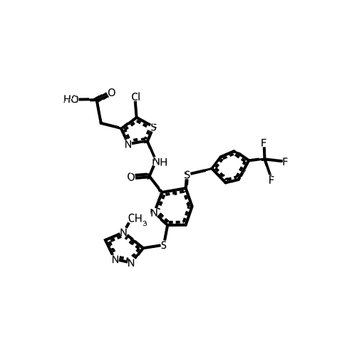 Cn1cnnc1Sc1ccc(Sc2ccc(C(F)(F)F)cc2)c(C(=O)Nc2nc(CC(=O)O)c(Cl)s2)n1